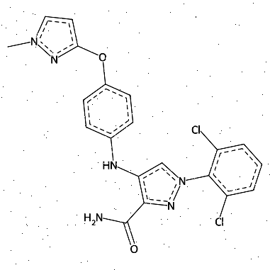 Cn1ccc(Oc2ccc(Nc3cn(-c4c(Cl)cccc4Cl)nc3C(N)=O)cc2)n1